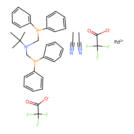 CC#N.CC#N.CC(C)(C)N(CP(c1ccccc1)c1ccccc1)CP(c1ccccc1)c1ccccc1.O=C([O-])C(F)(F)F.O=C([O-])C(F)(F)F.[Pd+2]